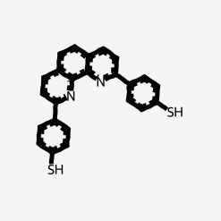 Sc1ccc(-c2ccc3ccc4ccc(-c5ccc(S)cc5)nc4c3n2)cc1